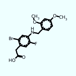 COc1ccc(CNc2cc(Br)c(CC(=O)O)cc2F)c(OC)c1